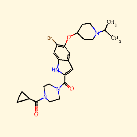 CC(C)N1CCC(Oc2cc3cc(C(=O)N4CCN(C(=O)C5CC5)CC4)[nH]c3cc2Br)CC1